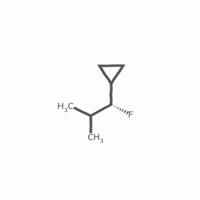 CC(C)[C@@H](F)C1CC1